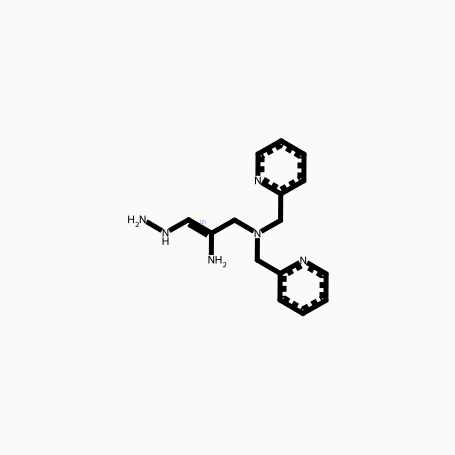 NN/C=C(\N)CN(Cc1ccccn1)Cc1ccccn1